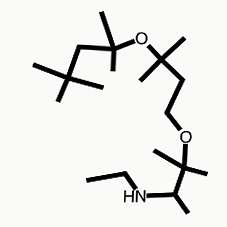 CCNC(C)C(C)(C)OCCC(C)(C)OC(C)(C)CC(C)(C)C